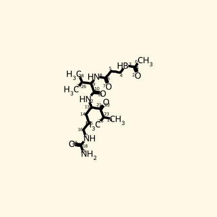 CC(=O)BCCC(=O)NC(C(=O)NC(CCCNC(N)=O)C(=O)C(C)C)C(C)C